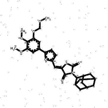 COCOc1cc(-c2ccc(/C=C3\SC(=S)N(C4C5CC6CC(C5)CC4C6)C3=O)o2)cc(OC)c1OC